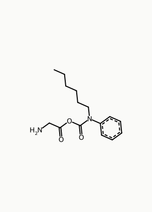 CCCCCCN(C(=O)OC(=O)CN)c1ccccc1